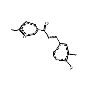 Cc1ccc(C(=O)/C=C/c2ccc(F)c(C)c2)cn1